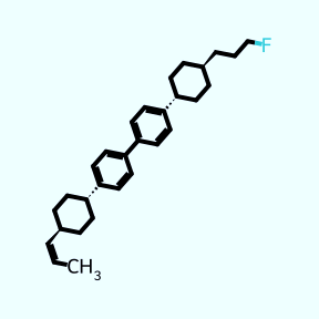 C/C=C\[C@H]1CC[C@H](c2ccc(-c3ccc([C@H]4CC[C@H](CCCF)CC4)cc3)cc2)CC1